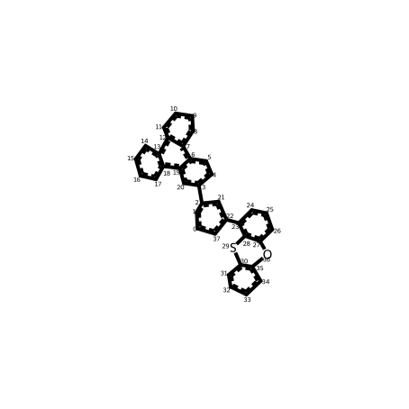 c1cc(-c2ccc3c4ccccc4c4ccccc4c3c2)cc(-c2cccc3c2Sc2ccccc2O3)c1